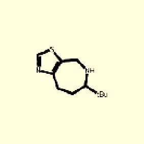 CC(C)(C)C1CCc2ncsc2CN1